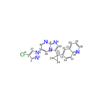 Clc1cnn(-c2cnc3ncc(C4(c5ccc6ncccc6c5)CC4)n3c2)c1